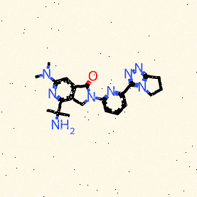 CN(C)c1cc2c(c(C(C)(C)N)n1)CN(c1cccc(-c3nnc4n3CCC4)n1)C2=O